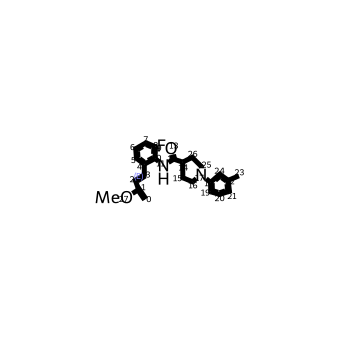 C=C(/C=C/c1cccc(F)c1NC(=O)C1CCN(c2cccc(C)c2)CC1)OC